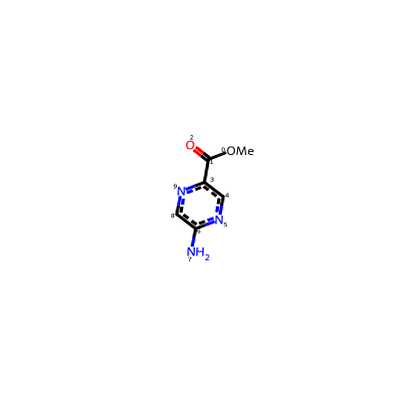 COC(=O)c1cnc(N)cn1